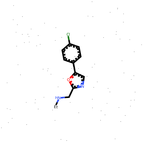 CCNCc1ncc(-c2ccc(Cl)cc2)o1